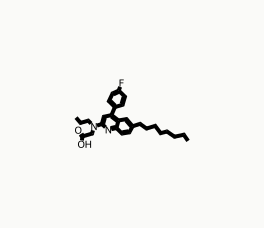 CCCCCCCCc1ccc2nc(N(CCC)CC(=O)O)cc(-c3ccc(F)cc3)c2c1